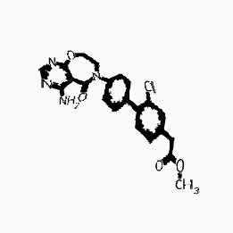 COC(=O)Cc1ccc(-c2ccc(N3CCOc4ncnc(N)c4C3=O)cc2)c(Cl)c1